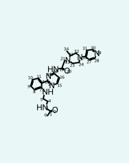 CC(=O)NCCNc1ccccc1-c1nccc(NC(=O)CN2CCN(c3ccncc3)CC2C)n1